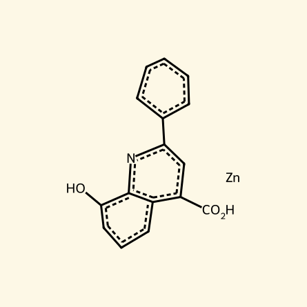 O=C(O)c1cc(-c2ccccc2)nc2c(O)cccc12.[Zn]